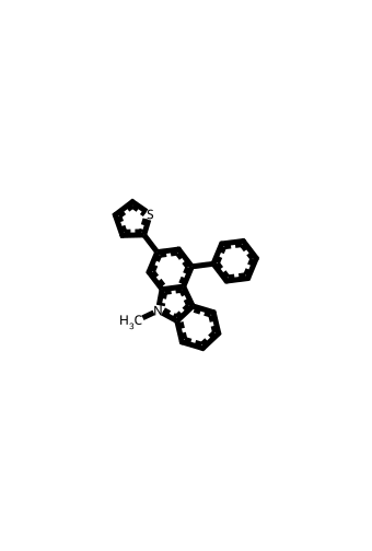 Cn1c2ccccc2c2c(-c3ccccc3)cc(-c3cccs3)cc21